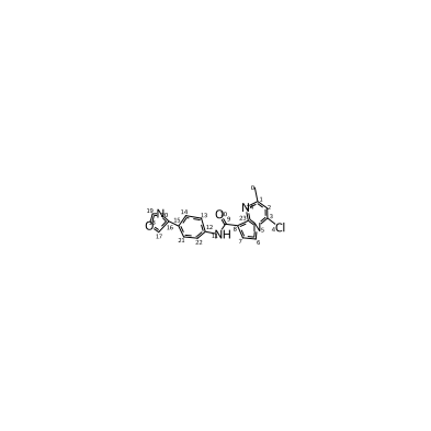 Cc1cc(Cl)n2ccc(C(=O)Nc3ccc(-c4cocn4)cc3)c2n1